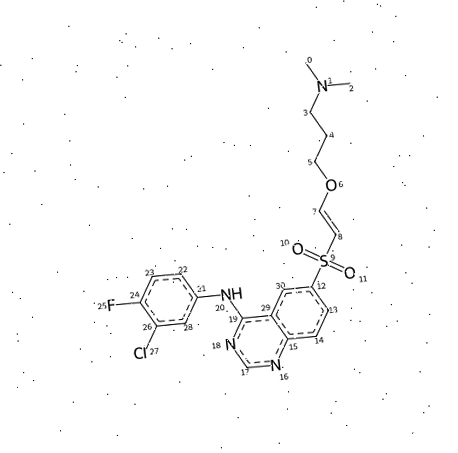 CN(C)CCCOC=CS(=O)(=O)c1ccc2ncnc(Nc3ccc(F)c(Cl)c3)c2c1